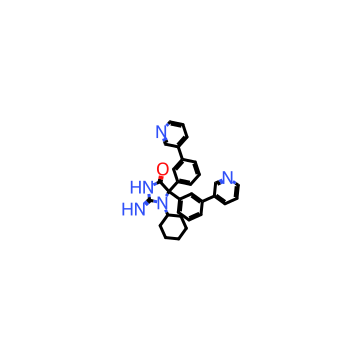 N=C1NC(=O)C(c2cccc(-c3cccnc3)c2)(c2cccc(-c3cccnc3)c2)N1C1CCCCC1